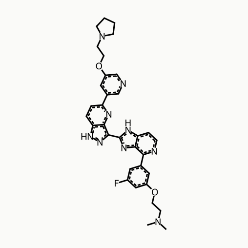 CN(C)CCOc1cc(F)cc(-c2nccc3[nH]c(-c4n[nH]c5ccc(-c6cncc(OCCN7CCCC7)c6)nc45)nc23)c1